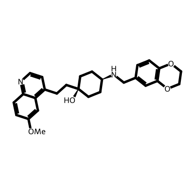 COc1ccc2nccc(CC[C@]3(O)CC[C@@H](NCc4ccc5c(c4)OCCO5)CC3)c2c1